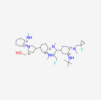 CN[C@H]1CC(C2C[C@H](CO)N([C@H]3CCCC[C@@H]3NC)C2)CC[C@@H]1N(C)C(CCF)C1CC[C@H](N(C)CC2(F)CC2)[C@@H](NC(C)(C)C)C1